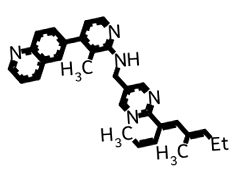 C\C=C/C(=C\C(C)=C\CC)c1ncc(CNc2nccc(-c3ccc4ncccc4c3)c2C)cn1